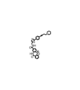 O=C(NCc1cnc(-c2ccc(C#CCCN3CCCCC3)cc2)s1)c1ccc2c(c1)NC(=O)c1ccccc1S2(=O)=O